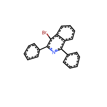 Brc1c(-c2ccccc2)nc(-c2ccccc2)c2ccccc12